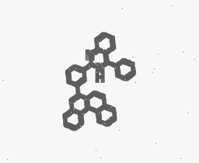 c1ccc(C2=c3ccccc3=NC(c3cccc(-c4cc5ccccc5c5c4ccc4ccccc45)c3)N2)cc1